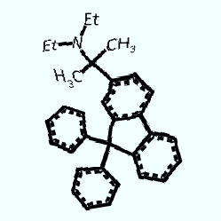 CCN(CC)C(C)(C)c1ccc2c(c1)C(c1ccccc1)(c1ccccc1)c1ccccc1-2